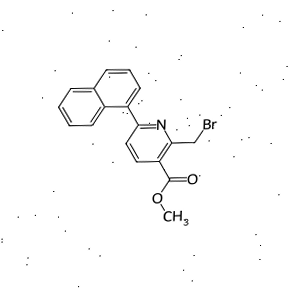 COC(=O)c1ccc(-c2cccc3ccccc23)nc1CBr